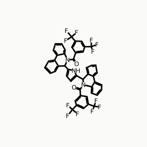 O=C(c1cc(C(F)(F)F)cc(C(F)(F)F)c1)N1c2ccccc2-c2ccccc2C1c1ccc(C2c3ccccc3-c3ccccc3N2C(=O)c2cc(C(F)(F)F)cc(C(F)(F)F)c2)[nH]1